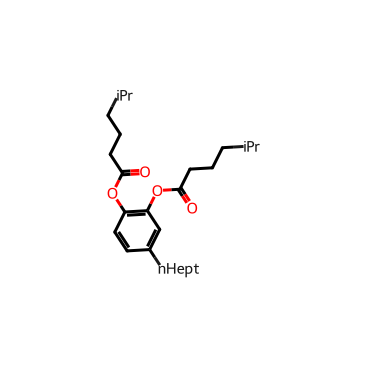 CCCCCCCc1ccc(OC(=O)CCCC(C)C)c(OC(=O)CCCC(C)C)c1